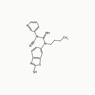 CCCCN(C(=N)N(C#N)c1cccnc1)c1ccc2nc(S)sc2c1